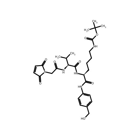 CC(C)[C@H](NC(=O)CN1C(=O)C=CC1=O)C(=O)N[C@@H](CCCCNC(=O)OC(C)(C)C)C(=O)Nc1ccc(CO)cc1